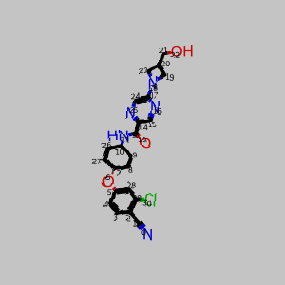 N#Cc1ccc(O[C@H]2CC[C@H](NC(=O)c3cnc(N4CC(CO)C4)cn3)CC2)cc1Cl